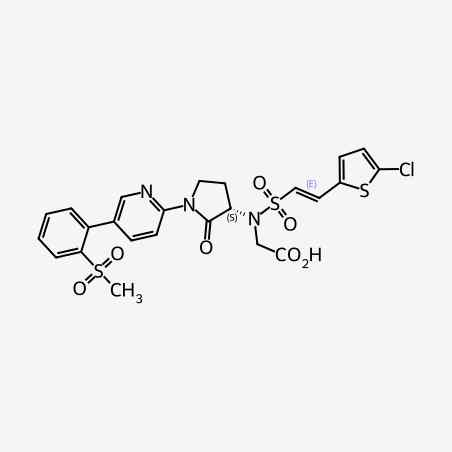 CS(=O)(=O)c1ccccc1-c1ccc(N2CC[C@H](N(CC(=O)O)S(=O)(=O)/C=C/c3ccc(Cl)s3)C2=O)nc1